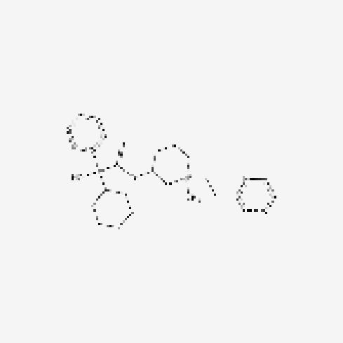 C[N+]1(CCc2ccccn2)CCCC(OC(=O)C(O)(c2ccccc2)C2CCCCC2)C1